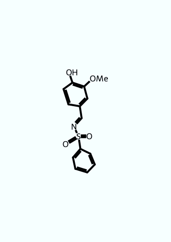 COc1cc(C=NS(=O)(=O)c2ccccc2)ccc1O